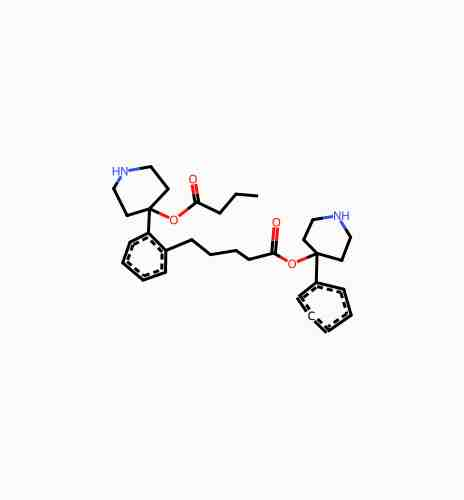 CCCC(=O)OC1(c2ccccc2CCCCC(=O)OC2(c3ccccc3)CCNCC2)CCNCC1